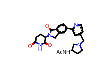 CC(=O)N[C@H]1CCN(Cc2ccnc(-c3ccc4c(c3)CN(C3CCC(=O)NC3=O)C4=O)c2)C1